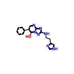 Oc1c(-c2ccccc2)cnc2nc(NCCc3c[nH]cn3)nn12